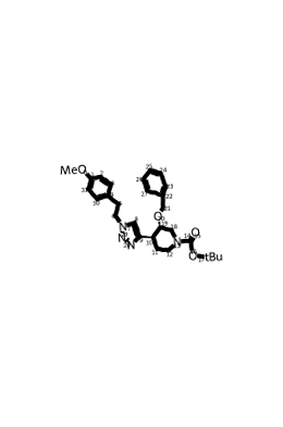 COc1ccc(CCn2cc([C@@H]3CCN(C(=O)OC(C)(C)C)C[C@H]3OCc3ccccc3)nn2)cc1